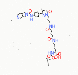 CCCC(C)(C)OC(=O)N[C@@H](CCCCNC(=O)CCCC(=O)NCCCCN1N=C(c2ccc(NC(=O)N3Cc4ccncc4C3)cc2)C(C)CC1=O)C(=O)O